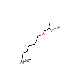 CCCCCCCCCCCCOCC(C)OCCC